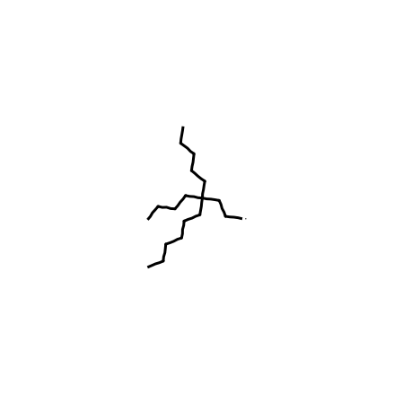 [CH2]CCC(CCCC)(CCCCC)CCCCCC